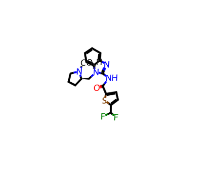 O=C(Nc1nc2ccccc2n1C[C@H]1CCCN1C(=O)O)c1ccc(C(F)F)s1